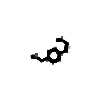 CCCC/C=[C]\c1ccc(CC(C)(C)C)cc1